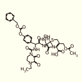 CCN1CCN(C(=O)NC(C(=O)N[C@]2(NO)C(=O)N3C(C(=O)O)=C(COC(C)=O)CS[C@@H]32)c2ccc(OC(=O)OCc3ccccc3)cc2)C(=O)C1=O